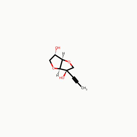 CC#C[C@@]1(O)CO[C@@H]2[C@@H](O)CO[C@@H]21